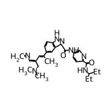 C=N/C=C(\C=C(/C)c1ccc2[nH]nc(C(=O)Nc3ccc(C(=O)NC(CC)CC)nc3)c2c1)CN(C)C